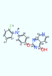 Cc1ccc(F)c(N(C)c2ccc(Oc3nc(O)c4ccncc4n3)cc2)c1